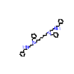 c1ccc(CCNCCCN(CCCCCCCCN(CCCNCCc2ccccc2)Cc2ccccc2)Cc2ccccc2)cc1